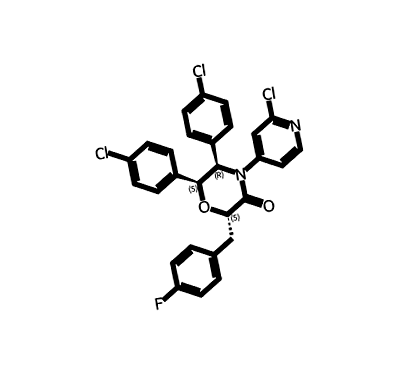 O=C1[C@H](Cc2ccc(F)cc2)O[C@@H](c2ccc(Cl)cc2)[C@@H](c2ccc(Cl)cc2)N1c1ccnc(Cl)c1